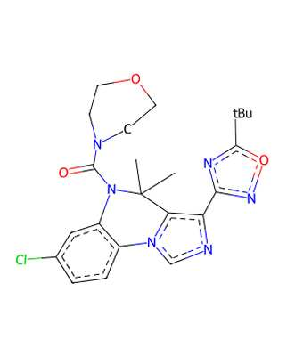 CC(C)(C)c1nc(-c2ncn3c2C(C)(C)N(C(=O)N2CCOCC2)c2cc(Cl)ccc2-3)no1